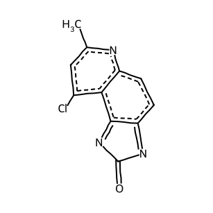 Cc1cc(Cl)c2c3c(ccc2n1)=NC(=O)N=3